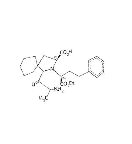 CCOC(=O)[C@H](CCc1ccccc1)N1C(C(=O)C(C)N)C2(CCCCC2)C[C@H]1C(=O)O